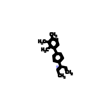 C=C/C(=C\C)c1ccc(-c2cnc(C)c(C)c2C)cc1